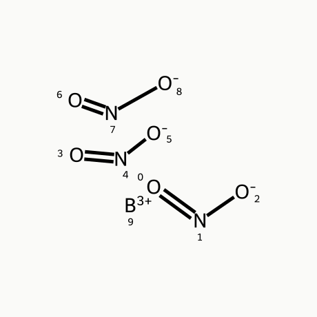 O=N[O-].O=N[O-].O=N[O-].[B+3]